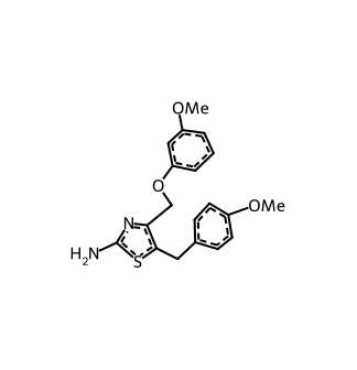 COc1ccc(Cc2sc(N)nc2COc2cccc(OC)c2)cc1